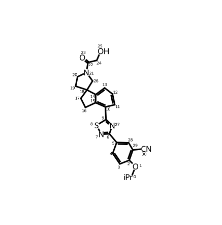 CC(C)Oc1ccc(-c2nsc(-c3cccc4c3CCC43CCN(C(=O)CO)C3)n2)cc1C#N